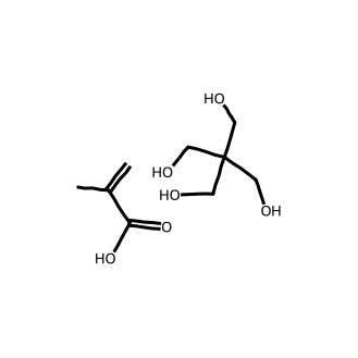 C=C(C)C(=O)O.OCC(CO)(CO)CO